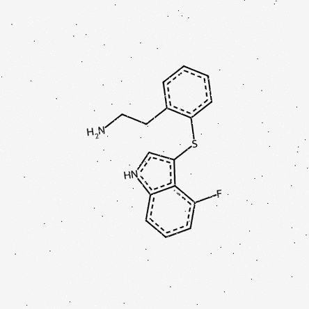 NCCc1ccccc1Sc1c[nH]c2cccc(F)c12